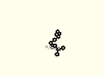 CC1(C)c2cc(-c3cc(-c4ccccc4)nc(-c4ccccc4)n3)ccc2-c2c(-c3ccc(-c4ccc5ccc6cccc7ccc4c5c67)cc3)cccc21